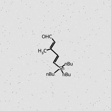 CCC[CH2][Sn](/[CH]=C/C(C)=C/C=O)([CH2]CCC)[CH2]CCC